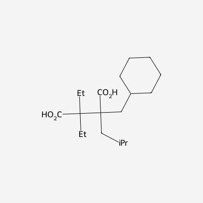 CCC(CC)(C(=O)O)C(CC(C)C)(CC1CCCCC1)C(=O)O